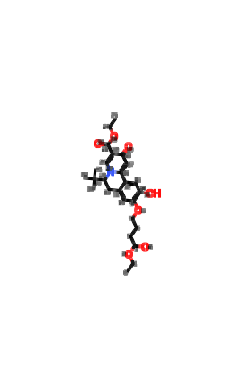 CCOC(=O)CCCOc1cc2c(cc1O)-c1cc(=O)c(C(=O)OCC)cn1C(C(C)(C)C)C2